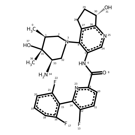 C[C@H]1CN(c2c(NC(=O)c3ccc(F)c(-c4c(F)cccc4F)n3)cnc3c2CC[C@@H]3O)C[C@@H](N)[C@]1(C)O